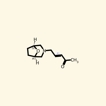 CC(=O)/C=C/CN1C[C@H]2CC[C@@H](C1)O2